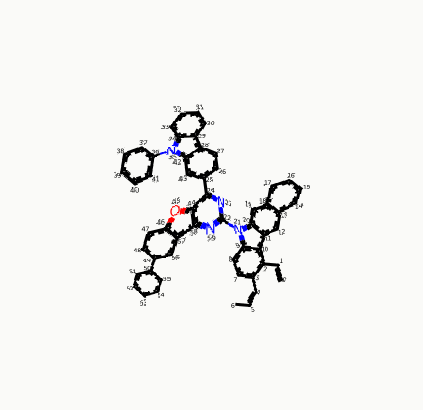 C=Cc1c(/C=C\C)ccc2c1c1cc3ccccc3cc1n2-c1nc(-c2ccc3c4ccccc4n(-c4ccccc4)c3c2)c2oc3ccc(-c4ccccc4)cc3c2n1